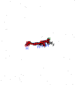 CC1(C)CCC(CN2CCN(c3ccc(C(=O)NS(=O)(=O)c4ccc(NCC5CCN(C6CCN(CCCCCCSc7cccc8c7CN(C7CCC(=O)NC7=O)C8=O)CC6)CC5)c([N+](=O)[O-])c4)c(Oc4cnc5[nH]ccc5c4)c3)CC2)=C(c2ccc(Cl)cc2)C1